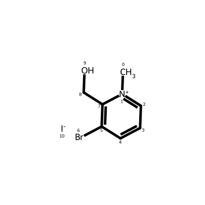 C[n+]1cccc(Br)c1CO.[I-]